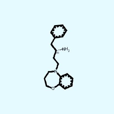 N[C@H](CCN1CCCOc2ccccc21)Cc1ccccc1